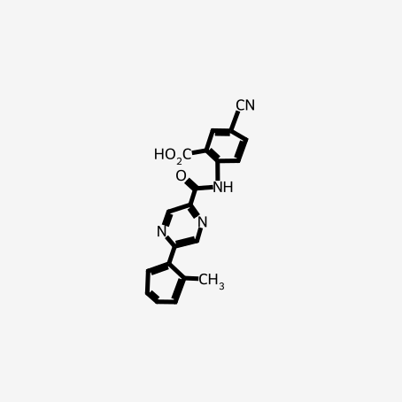 Cc1ccccc1-c1cnc(C(=O)Nc2ccc(C#N)cc2C(=O)O)cn1